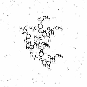 C=CC(=O)N1CCC[C@@H](Oc2cnc3[nH]cc(C(=O)N[C@@H](C)COC)c3n2)C1.C=CC(=O)N1CC[C@@H](Oc2cnc3[nH]cc(C(=O)NCC)c3n2)[C@H](C)C1.C=CC(=O)N1CC[C@@H](Oc2cnc3[nH]cc(C(=O)NCC)c3n2)[C@H](C)C1